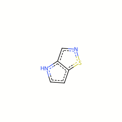 c1cc2sncc2[nH]1